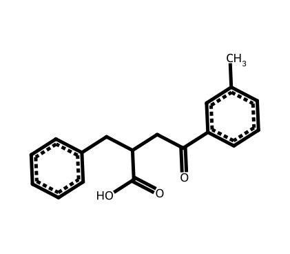 Cc1cccc(C(=O)CC(Cc2ccccc2)C(=O)O)c1